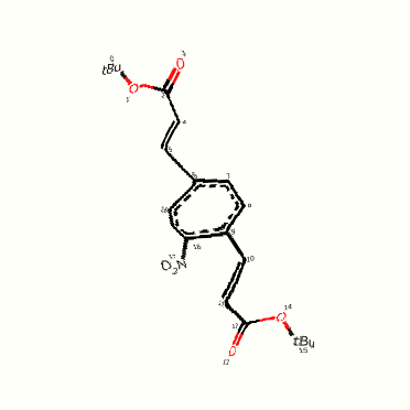 CC(C)(C)OC(=O)C=Cc1ccc(C=CC(=O)OC(C)(C)C)c([N+](=O)[O-])c1